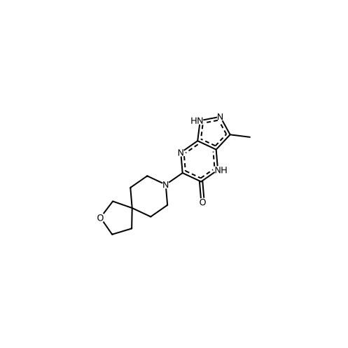 Cc1n[nH]c2nc(N3CCC4(CCOC4)CC3)c(=O)[nH]c12